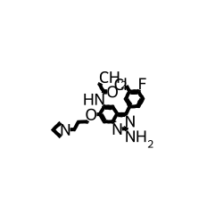 C=CC(=O)Nc1cc2c(-c3ccc(F)c(Cl)c3)nc(N)nc2cc1OCCCN1CCC1